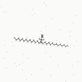 CCCCCCCCCCCCCCN(CCCCCCCCCCCCCC)C(C)(C)C#N